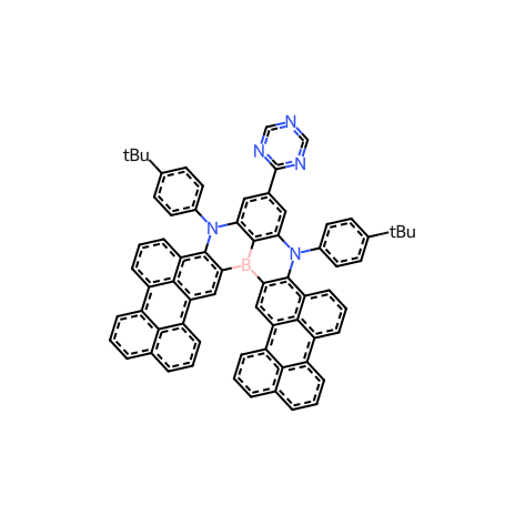 CC(C)(C)c1ccc(N2c3cc(-c4ncncn4)cc4c3B(c3cc5c6cccc7cccc(c8cccc(c32)c85)c76)c2cc3c5cccc6cccc(c7cccc(c2N4c2ccc(C(C)(C)C)cc2)c73)c65)cc1